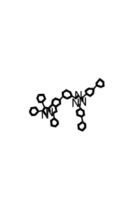 c1ccc(-c2ccc(-c3nc(-c4ccc(-c5ccccc5)cc4)nc(-c4cccc(-c5ccc6c(c5)cc(-c5ccccc5)n5nc(-c7ccccc7)c(-c7ccccc7)c65)c4)n3)cc2)cc1